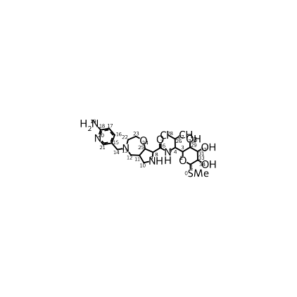 CSC1OC(C(NC(=O)C2NCC3CN(Cc4ccc(N)nc4)CCOC32)C(C)Cl)C(O)C(O)C1O